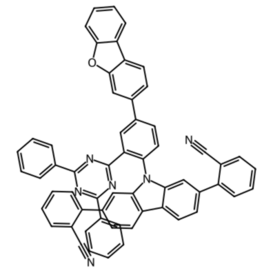 N#Cc1ccccc1-c1ccc2c3ccc(-c4ccccc4C#N)cc3n(-c3ccc(-c4ccc5c(c4)oc4ccccc45)cc3-c3nc(-c4ccccc4)nc(-c4ccccc4)n3)c2c1